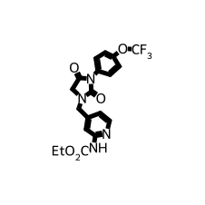 CCOC(=O)Nc1cc(CN2CC(=O)N(c3ccc(OC(F)(F)F)cc3)C2=O)ccn1